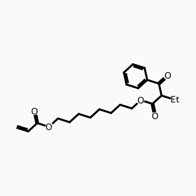 C=CC(=O)OCCCCCCCCOC(=O)C(CC)C(=O)c1ccccc1